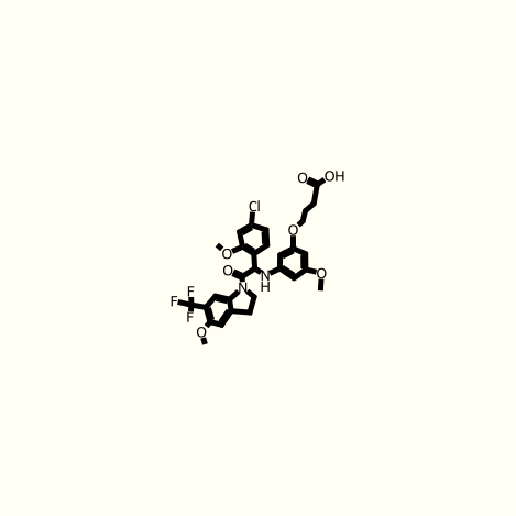 COc1cc(NC(C(=O)N2CCc3cc(OC)c(C(F)(F)F)cc32)c2ccc(Cl)cc2OC)cc(OCCCC(=O)O)c1